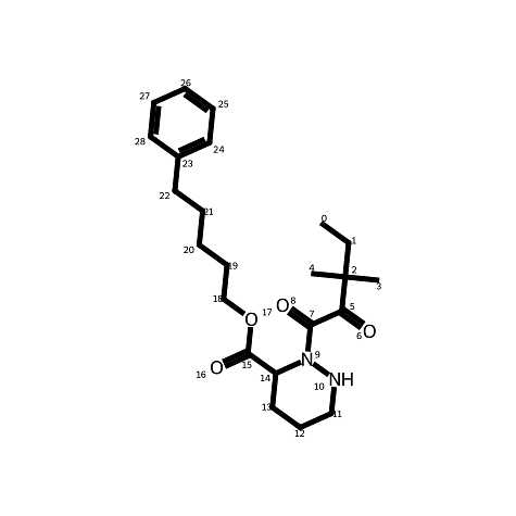 CCC(C)(C)C(=O)C(=O)N1NCCCC1C(=O)OCCCCCc1ccccc1